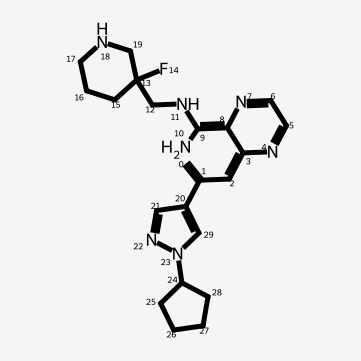 C=C(/C=c1/nccn/c1=C(/N)NCC1(F)CCCNC1)c1cnn(C2CCCC2)c1